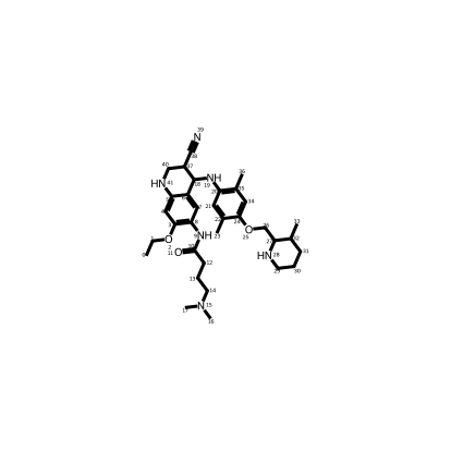 CCOc1cc2c(cc1NC(=O)CCCN(C)C)C(Nc1cc(C)c(OCC3NCCCC3C)cc1C)C(C#N)CN2